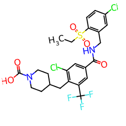 CCS(=O)(=O)c1ccc(Cl)cc1CNC(=O)c1cc(Cl)c(CC2CCN(C(=O)O)CC2)c(C(F)(F)F)c1